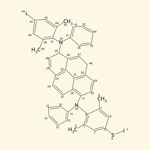 Cc1cc(SI)cc(C)c1N(c1ccccc1)c1ccc2c3c4c(ccc13)C=CC(N(c1ccccc1)c1c(C)cc(I)cc1C)C4=CC2